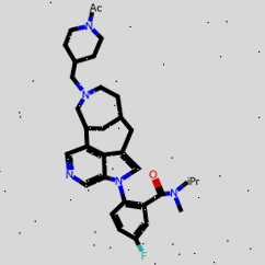 CC(=O)N1CCC(CN2CCC3Cc4cn(-c5ccc(F)cc5C(=O)N(C)C(C)C)c5cncc(c45)C(C3)C2)CC1